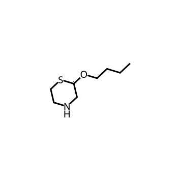 CCCCO[C]1CNCCS1